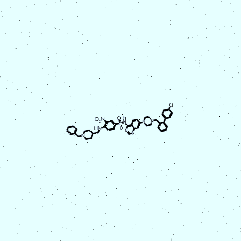 O=[N+]([O-])c1cc(S(=O)(=O)Nc2ncnc3cc(N4CCN(Cc5ccccc5-c5ccc(Cl)cc5)CC4)ccc23)ccc1NCC1CCN(Cc2ccccc2)CC1